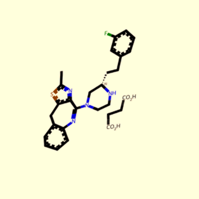 Cc1nc2c(s1)Cc1ccccc1N=C2N1CCN[C@@H](CCc2cccc(F)c2)C1.O=C(O)CCC(=O)O